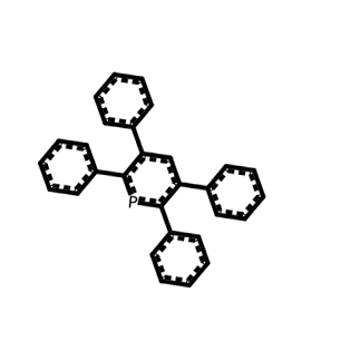 c1ccc(-c2cc(-c3ccccc3)c(-c3ccccc3)pc2-c2ccccc2)cc1